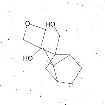 CC1(C)C2CCC1C(CO)(C1(O)COC1)C2